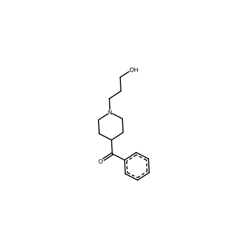 O=C(c1ccccc1)C1CCN(CCCO)CC1